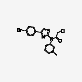 Cc1cccc(N(C(=O)CCl)c2nc(-c3ccc(Br)cc3)cs2)c1